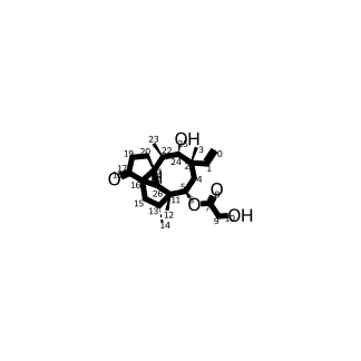 C=C[C@]1(C)C[C@@H](OC(=O)CO)[C@]2(C)[C@H](C)CC34C(=O)CC[C@@]3([C@@H](C)[C@@H]1O)[C@@H]42